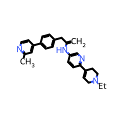 C=C(Cc1ccc(-c2ccnc(C)c2)cc1)Nc1ccc(C2=CCN(CC)CC2)nc1